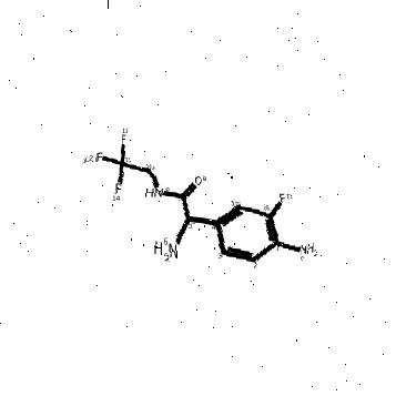 Nc1ccc(C(N)C(=O)NCC(F)(F)F)cc1F